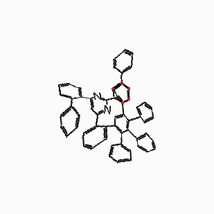 C1=C(c2ccccc2)CCC=C1c1nc(-c2ccccc2-c2ccccc2)cc(-c2ccccc2-c2cc(-c3ccccc3)c(-c3ccccc3)c(-c3ccccc3)c2-c2ccccc2)n1